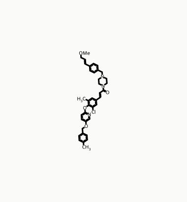 COC/C=C/c1ccc(CN2CCN(C(=O)/C=C/c3cc(C)c(Oc4ccc(OCc5ccc(C)cc5)cn4)c(Cl)c3)CC2)cc1